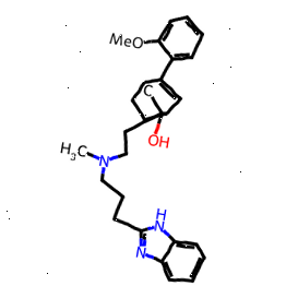 COc1ccccc1C1=CC2CCC1CC2(O)CCN(C)CCCc1nc2ccccc2[nH]1